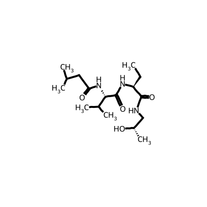 CC[C@H](NC(=O)[C@@H](NC(=O)CC(C)C)C(C)C)C(=O)NC[C@H](C)O